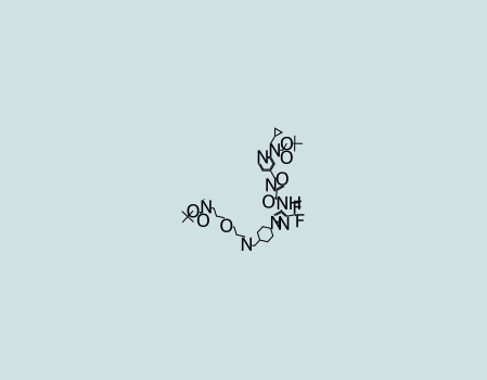 CN(CCCOCCCN(C)C(=O)OC(C)(C)C)CC1CCC(n2cc(NC(=O)c3coc(-c4ccnc(N(CC5CC5)C(=O)OC(C)(C)C)c4)n3)c(C(F)F)n2)CC1